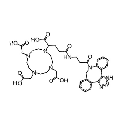 O=C(O)CN1CCN(CC(=O)O)CCN(C(CCC(=O)NCCC(=O)N2Cc3ccccc3-c3nn[nH]c3-c3ccccc32)C(=O)O)CCN(CC(=O)O)CC1